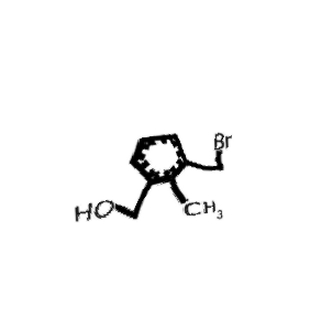 Cc1c(CO)cccc1CBr